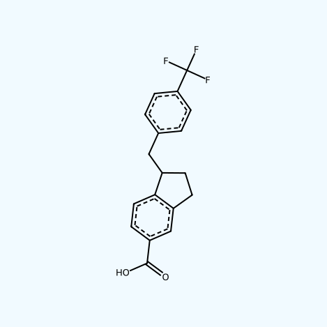 O=C(O)c1ccc2c(c1)CCC2Cc1ccc(C(F)(F)F)cc1